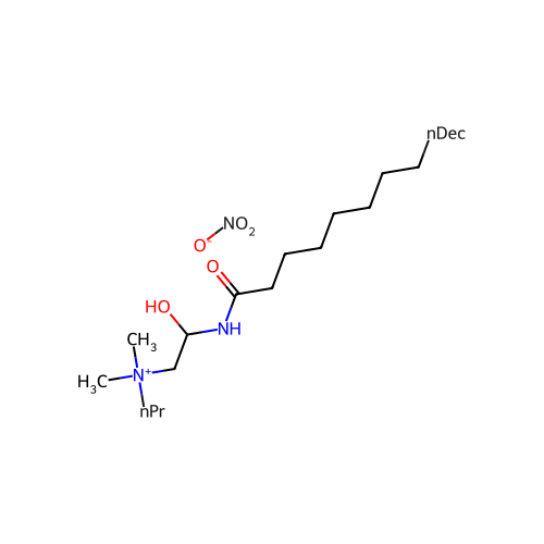 CCCCCCCCCCCCCCCCCC(=O)NC(O)C[N+](C)(C)CCC.O=[N+]([O-])[O-]